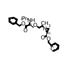 CC(C)N[C@@H](COCC(C)N1C[C@H]1C(=O)OCc1ccccc1)C(=O)OCc1ccccc1